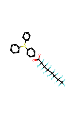 O=C([O-])C(F)(F)C(F)(F)C(F)(F)C(F)(F)C(F)(F)C(F)(F)C(F)(F)F.c1ccc([S+](c2ccccc2)c2ccccc2)cc1